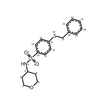 O=S(=O)(NC1CCOCC1)c1ccc(SCc2ccccc2)cc1